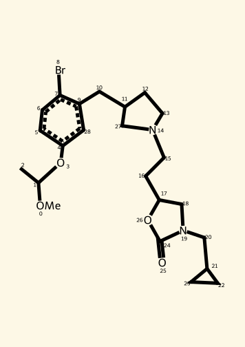 COC(C)Oc1ccc(Br)c(CC2CCN(CCC3CN(CC4CC4)C(=O)O3)C2)c1